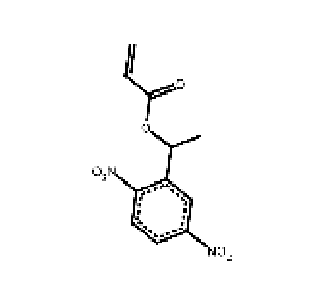 C=CC(=O)OC(C)c1cc([N+](=O)[O-])ccc1[N+](=O)[O-]